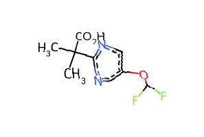 CC(C)(C(=O)O)c1ncc(OC(F)F)cn1